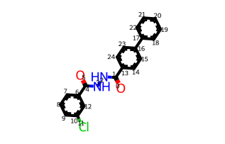 O=C(NNC(=O)c1cccc(Cl)c1)c1ccc(-c2ccccc2)cc1